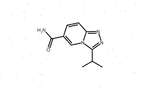 CC(C)c1nnc2ccc(C(N)=O)cn12